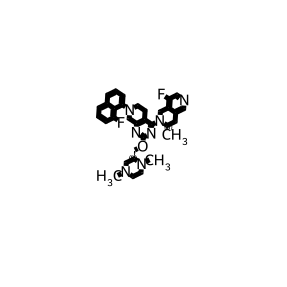 C[C@H]1Cc2cncc(F)c2CN1c1nc(OC[C@H]2CN(C)CCN2C)nc2c1CCN(c1cccc3cccc(F)c13)C2